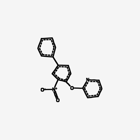 O=[N+]([O-])c1cc(-c2ccccc2)ccc1Oc1ccccn1